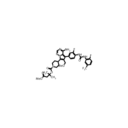 COCc1c(-c2ccc(NC(=O)Nc3cc(C(F)(F)F)ccc3F)c(F)c2)c2c(N)ncnn2c1C1CCN(C(=O)OC(C)(C)CC(=O)OC)CC1